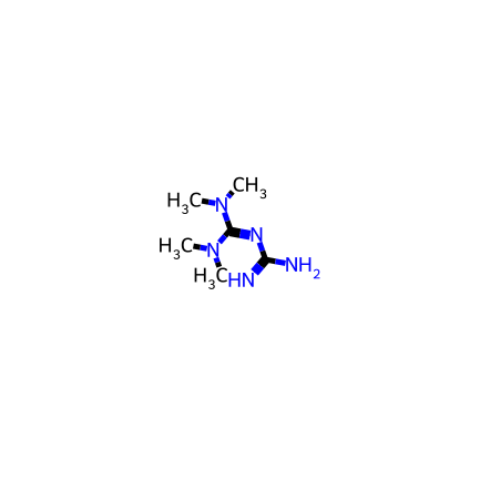 CN(C)C(=NC(=N)N)N(C)C